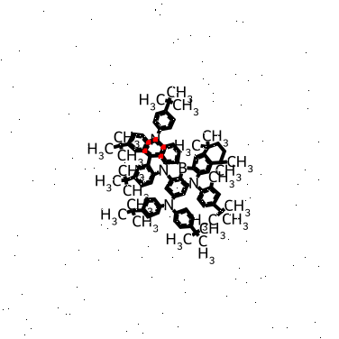 Cc1cc(C(C)(C)C)ccc1N1c2cc3c(cc2B2c4ccc(N(c5ccc(C(C)(C)C)cc5)c5ccc(C(C)(C)C)cc5)cc4N(c4ccc(C(C)(C)C)cc4-c4ccccc4)c4cc(N(c5ccc(C(C)(C)C)cc5)c5ccc(C(C)(C)C)cc5)cc1c42)C(C)(C)CCC3(C)C